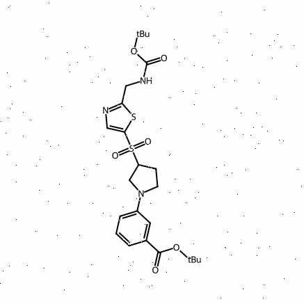 CC(C)(C)OC(=O)NCc1ncc(S(=O)(=O)C2CCN(c3cccc(C(=O)OC(C)(C)C)c3)C2)s1